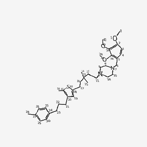 COc1ccc(CN2CCN(CCC(C)(C)CCc3cc(CCCc4ccc(C)cc4)c(C)s3)CC2)c(OC)c1OC